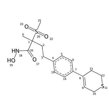 CC(CCc1ccc(C2=CCSCC2)cc1)(C(=O)NO)S(C)(=O)=O